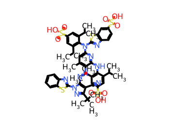 Cc1cc(N(c2nc3ccc(S(=O)(=O)O)cc3s2)c2c(C(C)C)cc(S(=O)(=O)O)cc2C(C)C)nc(Nc2c(C(C)C)cc(S(=O)(=O)O)cc2C(C)C)c1N=Nc1c(C#N)c(C(C)(C)C)nn1-c1nc2ccccc2s1